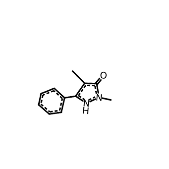 Cc1c(-c2ccccc2)[nH]n(C)c1=O